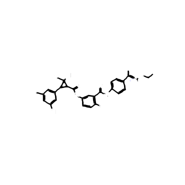 CCO/N=C(\C)c1ccc(NC(=O)c2cc(NC(=O)C3C(c4cc(Cl)cc(Cl)c4)C3(Cl)Cl)ccc2Cl)cc1